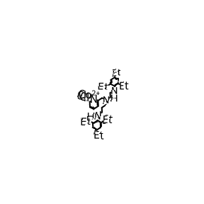 CCc1cc(CC)c(NCCCN(CCNc2c(CC)cc(CC)cc2CC)Cc2ccccn2)c(CC)c1.[Cl-].[Cl-].[Co+2]